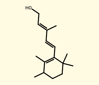 CC1=C(/C=C/C(C)=C/CO)C(C)(C)CCC1C